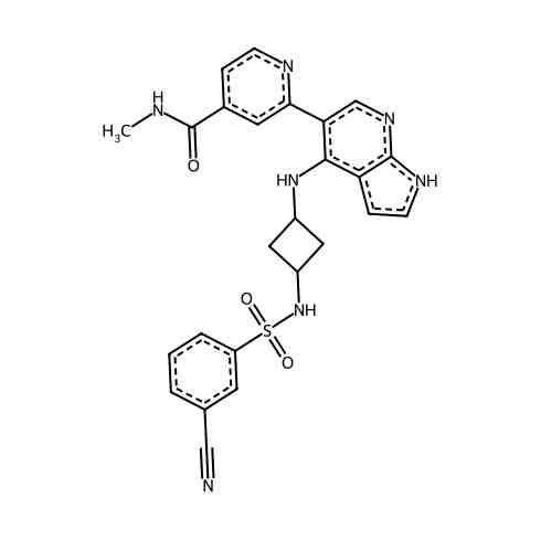 CNC(=O)c1ccnc(-c2cnc3[nH]ccc3c2NC2CC(NS(=O)(=O)c3cccc(C#N)c3)C2)c1